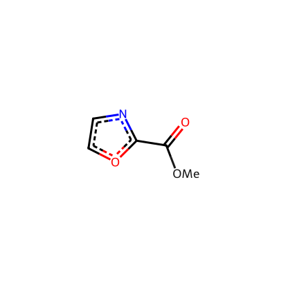 [CH2]OC(=O)c1ncco1